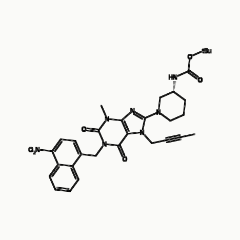 CC#CCn1c(N2CCC[C@@H](NC(=O)OC(C)(C)C)C2)nc2c1c(=O)n(Cc1ccc([N+](=O)[O-])c3ccccc13)c(=O)n2C